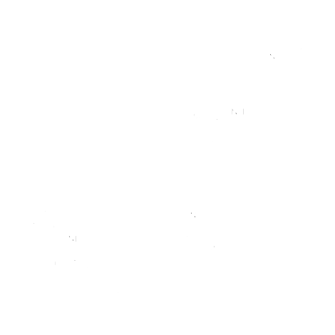 Cc1ccc(C(=O)NC2CC2)cc1-c1ccc2c(=O)n(Cc3ccc(C(=O)NCCCN4CCCC4)cc3)ccc2c1